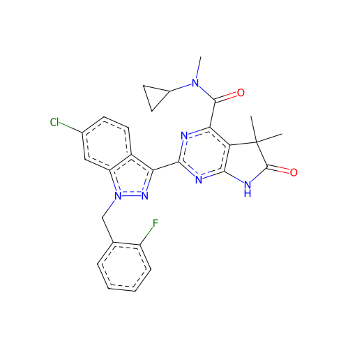 CN(C(=O)c1nc(-c2nn(Cc3ccccc3F)c3cc(Cl)ccc23)nc2c1C(C)(C)C(=O)N2)C1CC1